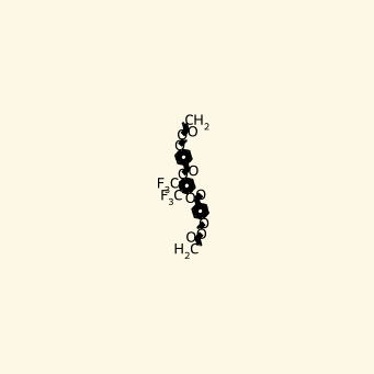 C=CC(=O)OCOc1ccc(C(=O)Oc2ccc(OC(=O)c3ccc(OCOC(=O)C=C)cc3)c(C(F)(F)F)c2C(F)(F)F)cc1